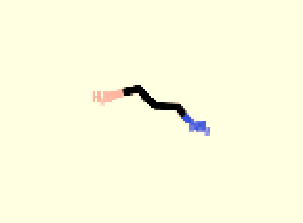 BCCCN